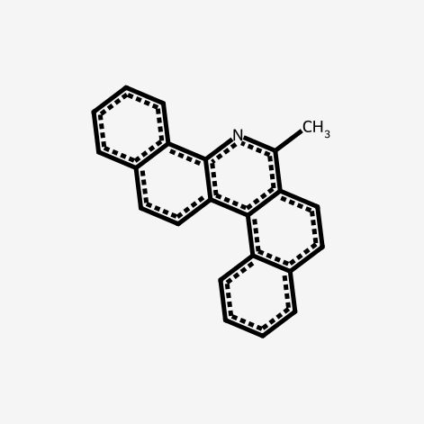 Cc1nc2c3ccccc3ccc2c2c1ccc1ccccc12